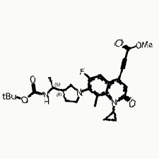 COC(=O)C#Cc1cc(=O)n(C2CC2)c2c(C)c(N3CC[C@@H]([C@H](C)NC(=O)OC(C)(C)C)C3)c(F)cc12